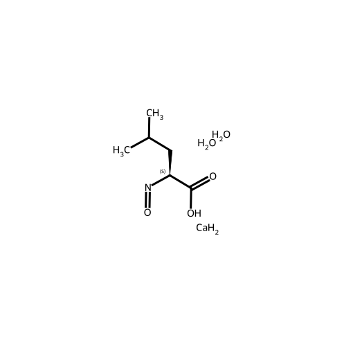 CC(C)C[C@H](N=O)C(=O)O.O.O.[CaH2]